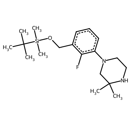 CC1(C)CN(c2cccc(CO[Si](C)(C)C(C)(C)C)c2F)CCN1